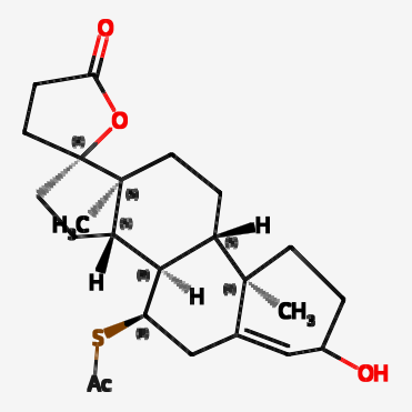 CC(=O)S[C@@H]1CC2=CC(O)CC[C@]2(C)[C@H]2CC[C@@]3(C)[C@@H](CC[C@@]34CCC(=O)O4)[C@H]12